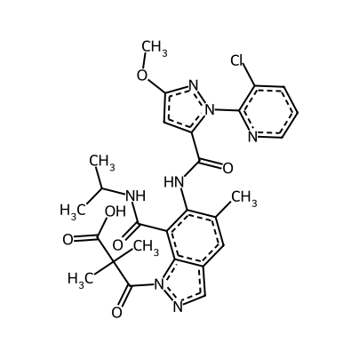 COc1cc(C(=O)Nc2c(C)cc3cnn(C(=O)C(C)(C)C(=O)O)c3c2C(=O)NC(C)C)n(-c2ncccc2Cl)n1